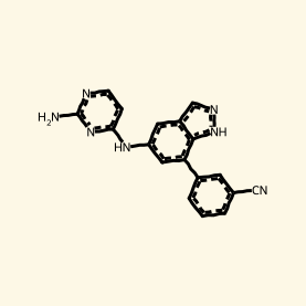 N#Cc1cccc(-c2cc(Nc3ccnc(N)n3)cc3cn[nH]c23)c1